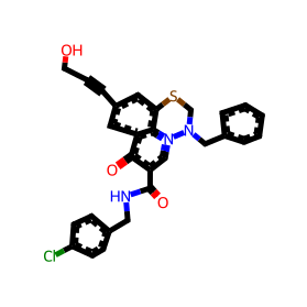 O=C(NCc1ccc(Cl)cc1)c1cn2c3c(cc(C#CCO)cc3c1=O)SCN2Cc1ccccc1